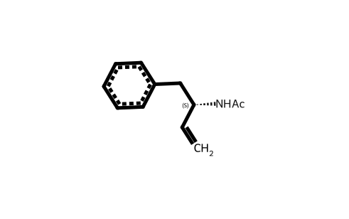 C=C[C@H](Cc1ccccc1)NC(C)=O